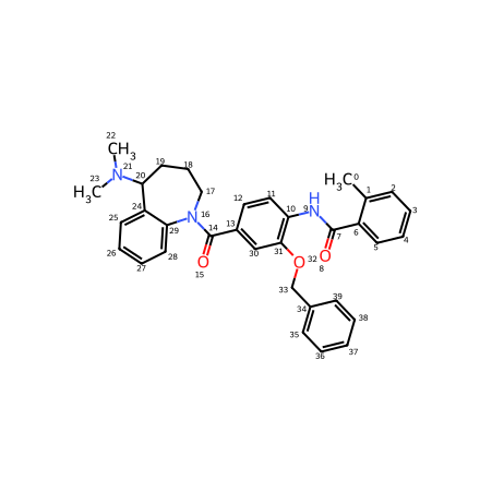 Cc1ccccc1C(=O)Nc1ccc(C(=O)N2CCCC(N(C)C)c3ccccc32)cc1OCc1ccccc1